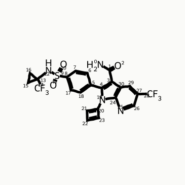 NC(=O)c1c(-c2ccc(S(=O)(=O)NC3(C(F)(F)F)CC3)cc2)n(C2=CC=C2)c2ncc(C(F)(F)F)cc12